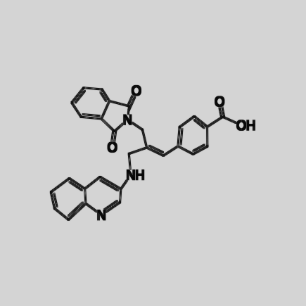 O=C(O)c1ccc(C=C(CNc2cnc3ccccc3c2)CN2C(=O)c3ccccc3C2=O)cc1